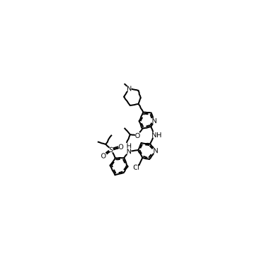 CC(C)Oc1cc(C2CCN(C)CC2)cnc1Nc1cc(Nc2ccccc2S(=O)(=O)C(C)C)c(Cl)cn1